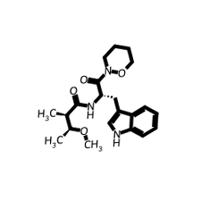 CO[C@@H](C)[C@@H](C)C(=O)N[C@@H](Cc1c[nH]c2ccccc12)C(=O)N1CCCCO1